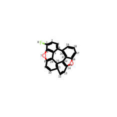 Fc1ccc2c3c1oc1ccc4ccc5oc6cccc-2c6c5c4c13